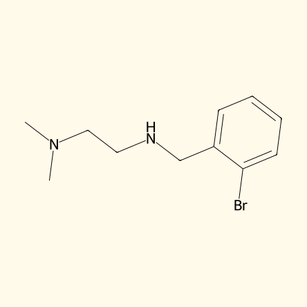 CN(C)CCNCc1ccccc1Br